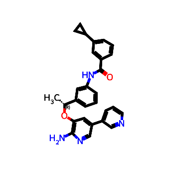 C[C@@H](Oc1cc(-c2cccnc2)cnc1N)c1cccc(NC(=O)c2cccc(C3CC3)c2)c1